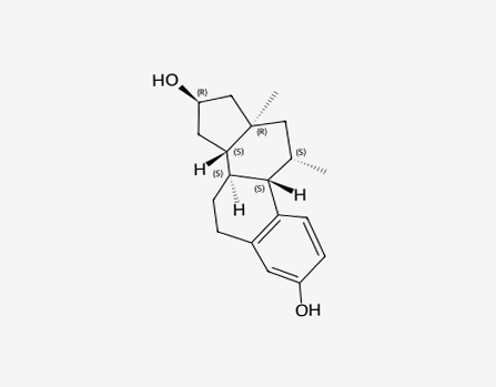 C[C@H]1C[C@]2(C)C[C@H](O)C[C@H]2[C@@H]2CCc3cc(O)ccc3[C@H]21